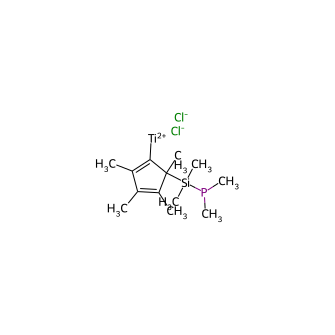 CC1=C(C)C(C)([Si](C)(C)P(C)C)[C]([Ti+2])=C1C.[Cl-].[Cl-]